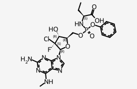 CC[C@H](NP(=O)(OC[C@H]1O[C@@H](n2cnc3c(NC)nc(N)nc32)[C@@](F)(Cl)[C@@H]1O)Oc1ccccc1)C(=O)O